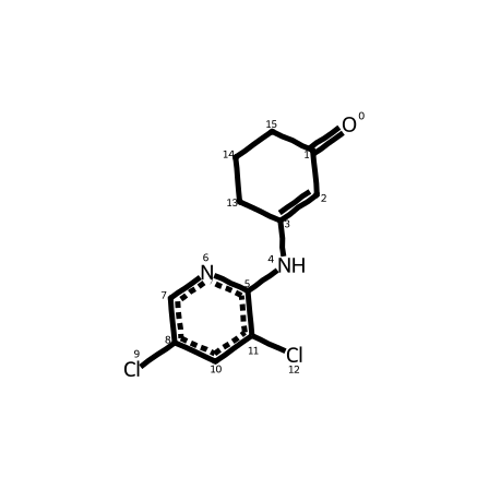 O=C1C=C(Nc2ncc(Cl)cc2Cl)CCC1